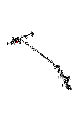 CC(C)(COP(=O)(O)OP(=O)(O)OC[C@H]1O[C@@H](n2cnc3c(N)ncnc32)[C@@H](O)C1OP(=O)(O)O)[C@@H](O)C(=O)NCCC(=O)NCCSC1CC(=O)N(CCCC(=O)CCOCCOCCOCCOCCOCCOCCOCCOCCOCCOCCOCCOCCCC(=O)C(CCCCNC(=O)CCCCCN2C(=O)C=CC2=O)NC(=O)c2ccc3c(c2)C2(OC3=O)c3ccc(O)cc3Oc3cc(O)ccc32)C1=O